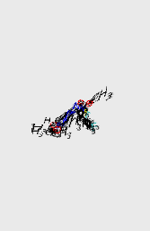 CCOC[C@H]1CSc2c(-c3ccc(F)cc3F)c(C)cc3c(N4C[C@@H](C)N(C(=O)OC(C)(C)C)[C@@H](C)C4)nc(=O)n1c23